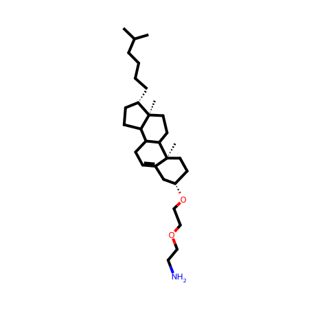 CC(C)CCCC[C@H]1CCC2C3CC=C4C[C@@H](OCCOCCN)CC[C@]4(C)C3CC[C@@]21C